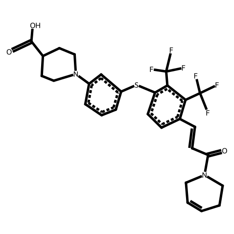 O=C(O)C1CCN(c2cccc(Sc3ccc(C=CC(=O)N4CC=CCC4)c(C(F)(F)F)c3C(F)(F)F)c2)CC1